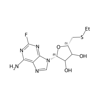 CCSC[C@H]1O[C@@H](n2cnc3c(N)nc(F)nc32)C(O)C1O